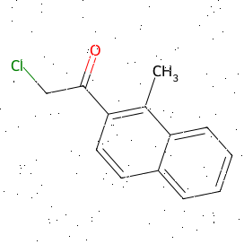 Cc1c(C(=O)CCl)ccc2ccccc12